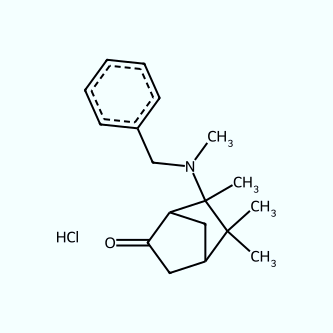 CN(Cc1ccccc1)C1(C)C2CC(CC2=O)C1(C)C.Cl